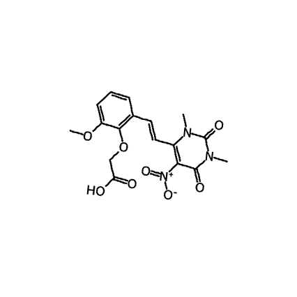 COc1cccc(C=Cc2c([N+](=O)[O-])c(=O)n(C)c(=O)n2C)c1OCC(=O)O